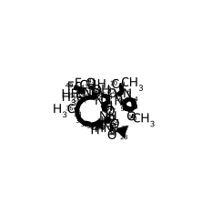 COc1ccc2nc(C(C)C)c(O[C@@H]3C[C@H]4C(=O)N[C@]5(C(=O)NS(=O)(=O)C6CC6)C[C@H]5C=CCC[C@H](C)C[C@@H](C)[C@H](N(C(=O)O)C(C)(C)C(F)(F)F)C(=O)N4C3)nc2c1